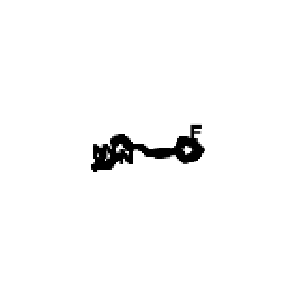 Cc1cc2nc(CCC#Cc3cccc(F)c3)ccn2n1